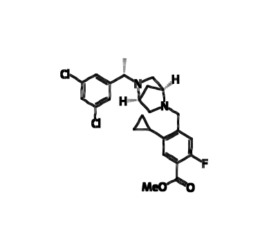 COC(=O)c1cc(C2CC2)c(CN2C[C@@H]3C[C@H]2CN3[C@@H](C)c2cc(Cl)cc(Cl)c2)cc1F